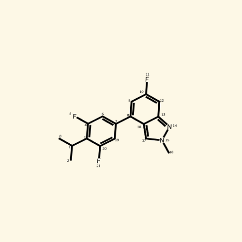 CC(C)c1c(F)cc(-c2cc(F)cc3nn(C)cc23)cc1F